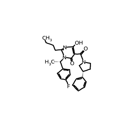 CCCCc1nc(O)c(C(=O)N2CC[C@H](c3ccccc3)C2)c(=O)n1[C@@H](C)c1ccc(F)cc1